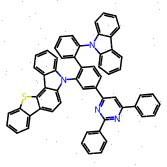 c1ccc(-c2cc(-c3ccc(-c4ccccc4-n4c5ccccc5c5ccccc54)c(-n4c5ccccc5c5c6sc7ccccc7c6ccc54)c3)nc(-c3ccccc3)n2)cc1